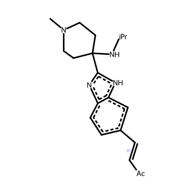 CC(=O)/C=C/c1ccc2nc(C3(NC(C)C)CCN(C)CC3)[nH]c2c1